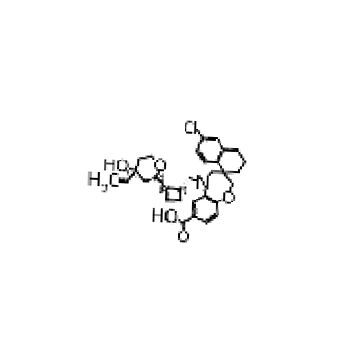 C=C[C@]1(O)CCO[C@@H]([C@@H]2CC[C@H]2CN2CC3(CCCc4cc(Cl)ccc43)COc3ccc(C(=O)O)cc32)C1